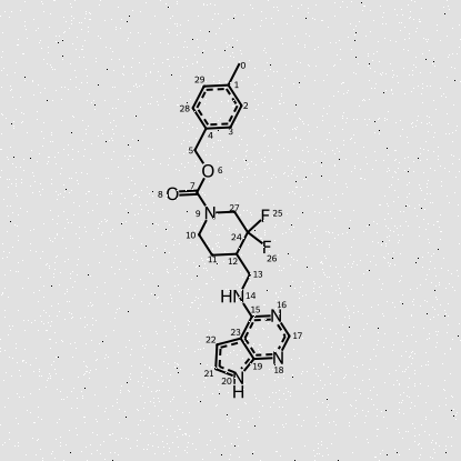 Cc1ccc(COC(=O)N2CCC(CNc3ncnc4[nH]ccc34)C(F)(F)C2)cc1